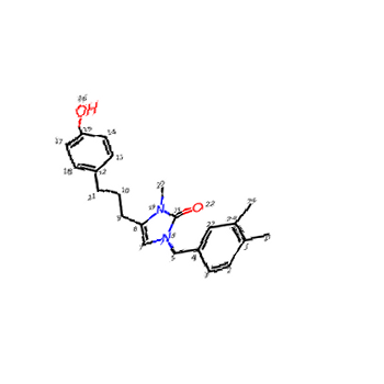 Cc1ccc(Cn2cc(CCCc3ccc(O)cc3)n(C)c2=O)cc1C